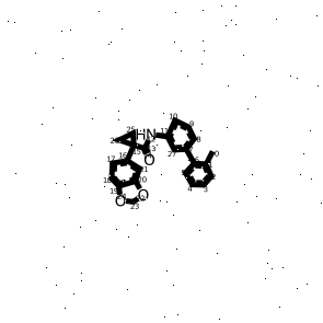 Cc1ccccc1-c1cccc(NC(=O)C2(c3ccc4c(c3)OCO4)CC2)c1